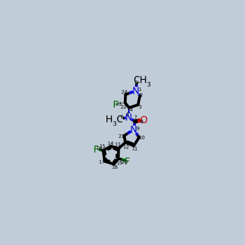 CN1CC[C@@H](N(C)C(=O)N2CC=C(c3cc(F)ccc3F)C2)[C@H](F)C1